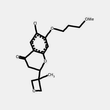 COCCCOc1cc2c(cc1Cl)C(=O)CC(C1(C)COC1)O2